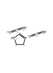 C1=CPCC1.N=C=O.N=C=O